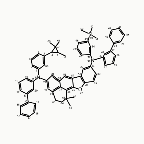 CC1C(c2cccc(N(c3cccc(-c4ccccc4)c3)c3cc4c5c(c6oc7ccc(N(c8cccc(-c9ccccc9)c8)c8cccc([Si](C)(C)C)c8)cc7c6cc5c3)C(C)(C)CC4)c2)C1(C)C